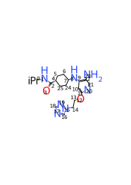 CC(C)NC(=O)[C@H]1CC[C@@H](Nc2cc(OCCn3cncn3)ncc2N)CC1